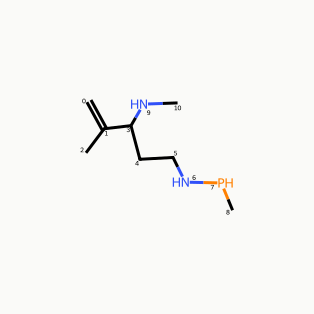 C=C(C)C(CCNPC)NC